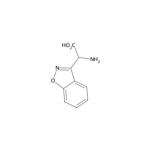 NC(C(=O)O)c1noc2ccccc12